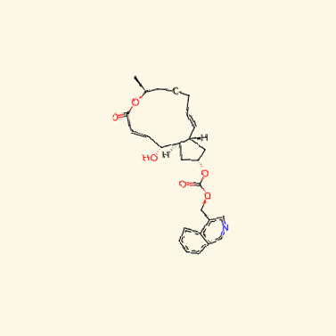 C[C@H]1CCC/C=C/[C@@H]2C[C@H](OC(=O)OCc3cncc4ccccc34)C[C@H]2[C@H](O)/C=C/C(=O)O1